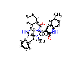 Cc1ccc2[nH]c(=O)c(CN(C(=O)C3CCCCC3)[C@@H]3CNC[C@@]3(Cc3ccccc3)N(C(=O)O)C(C)(C)C)cc2c1